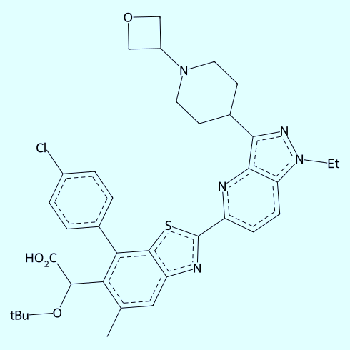 CCn1nc(C2CCN(C3COC3)CC2)c2nc(-c3nc4cc(C)c(C(OC(C)(C)C)C(=O)O)c(-c5ccc(Cl)cc5)c4s3)ccc21